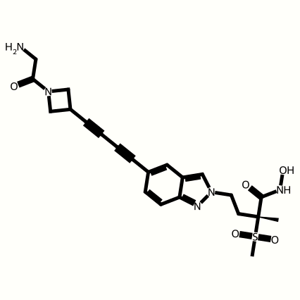 C[C@@](CCn1cc2cc(C#CC#CC3CN(C(=O)CN)C3)ccc2n1)(C(=O)NO)S(C)(=O)=O